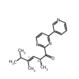 C/C(=C\[C@H](C)C(=O)c1nccc(-c2cccnc2)n1)C(C)C